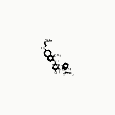 COCCNC1CCc2ccc(Nc3ncc(Cl)c(N[C@H]4[C@@H](C(N)=O)[C@@H]5C=C[C@H]4C5)n3)c(OC)c2CC1